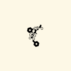 CC(=O)NC[C@@H]1Sc2ccccc2N(S(=O)(=O)C(=O)OCc2ccccc2)[C@@H]1C